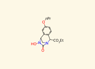 CCCOc1ccc2c(c1)C1CN(C(=O)N1O)C2C(=O)OCC